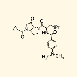 CC(C)CC(NC(=O)c1ccc(N(C)C)cc1)C(=O)N1CCC2C1C(=O)CN2C(=O)C1CC1